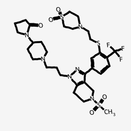 CS(=O)(=O)N1CCc2c(c(-c3ccc(C(F)(F)F)c(SCCN4CCS(=O)(=O)CC4)c3)nn2CCCN2CCC(N3CCCC3=O)CC2)C1